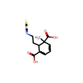 CC1(C(=O)O)C=CC=C(C(=O)O)C1CCN=C=S